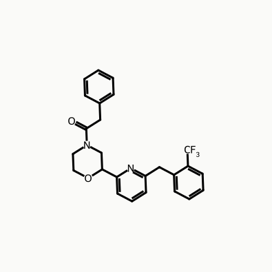 O=C(Cc1ccccc1)N1CCOC(c2cccc(Cc3ccccc3C(F)(F)F)n2)C1